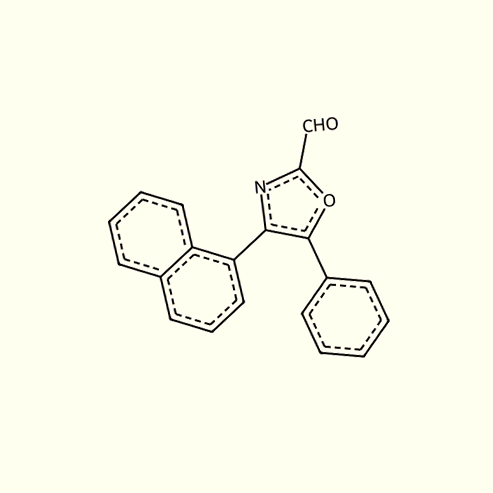 O=Cc1nc(-c2cccc3ccccc23)c(-c2ccccc2)o1